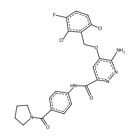 Nc1nnc(C(=O)Nc2ccc(C(=O)N3CCCC3)cc2)cc1OCc1c(Cl)ccc(F)c1Cl